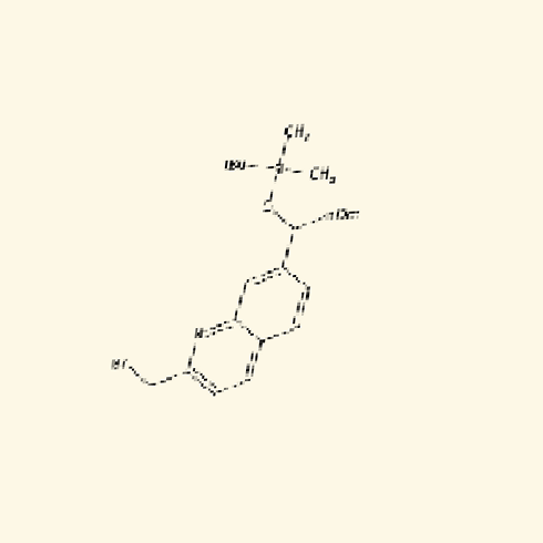 CCCCCCCCC(O[Si](C)(C)C(C)(C)C)c1ccc2ccc(CBr)nc2c1